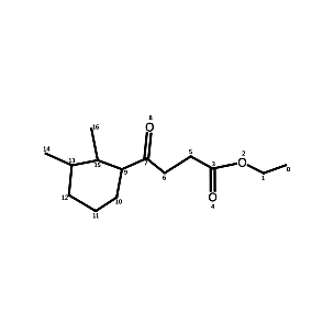 CCOC(=O)CCC(=O)C1CCCC(C)C1C